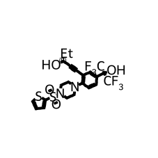 CC[C@@H](O)C#Cc1cc(C(O)(C(F)(F)F)C(F)(F)F)ccc1N1CCN(S(=O)(=O)c2cccs2)CC1